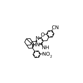 N#Cc1ccc2c(c1)Oc1nc(C34CC5CC(CC(c6cccc([N+](=O)[O-])c6)(C5)C3)C4)[nH]c(=N)c1C2